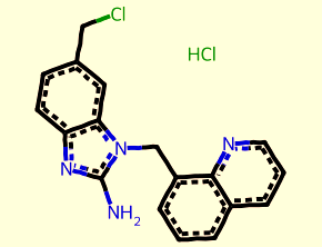 Cl.Nc1nc2ccc(CCl)cc2n1Cc1cccc2cccnc12